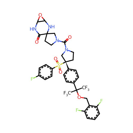 O=C(N1CCC2(C1)NC1OC1NC2=O)N1CC[C@](c2ccc(C(OCc3c(F)cccc3F)(C(F)(F)F)C(F)(F)F)cc2)(S(=O)(=O)c2ccc(F)cc2)C1